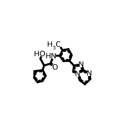 Cc1ccc(-c2cn3cccnc3n2)cc1NC(=O)C(CO)c1ccccc1